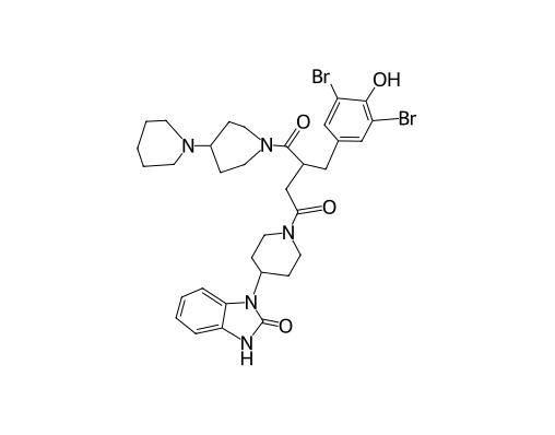 O=C(CC(Cc1cc(Br)c(O)c(Br)c1)C(=O)N1CCC(N2CCCCC2)CC1)N1CCC(n2c(=O)[nH]c3ccccc32)CC1